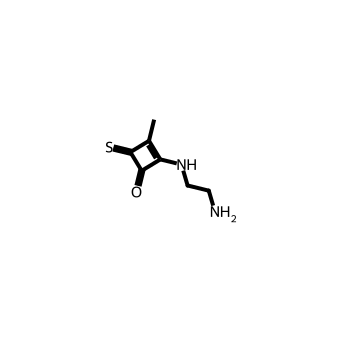 Cc1c(NCCN)c(=O)c1=S